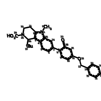 Cn1c2c(c3ccc(-n4ccc(OCc5ccc(Cl)cc5)cc4=O)cc31)C(C(C)(C)C)N(C(=O)O)CC2